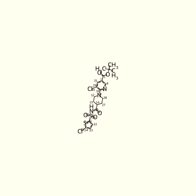 CC(C)(C)OC(=O)c1cnc(N2CCC(C(=O)NS(=O)(=O)c3ccc(Cl)s3)CC2)c(Cl)c1